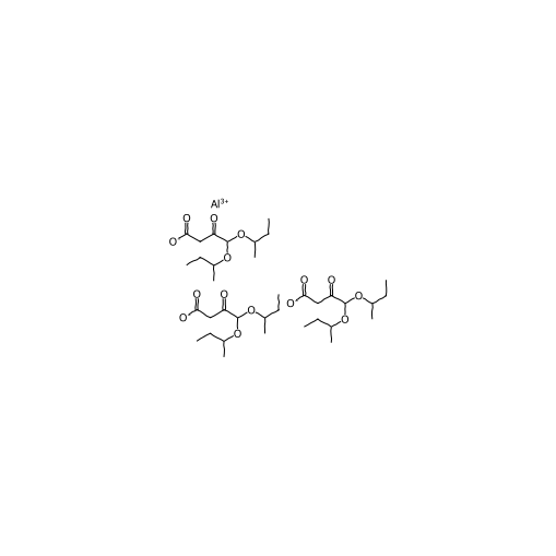 CCC(C)OC(OC(C)CC)C(=O)CC(=O)[O-].CCC(C)OC(OC(C)CC)C(=O)CC(=O)[O-].CCC(C)OC(OC(C)CC)C(=O)CC(=O)[O-].[Al+3]